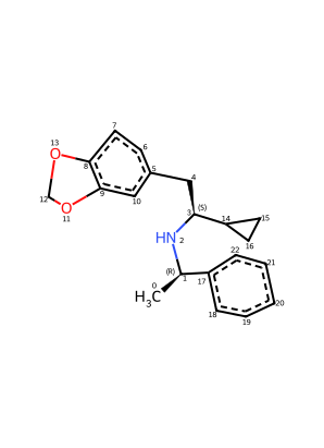 C[C@@H](N[C@@H](Cc1ccc2c(c1)OCO2)C1CC1)c1ccccc1